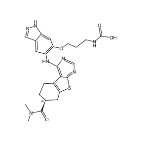 CN(C)C(=O)[C@H]1CCc2c(sc3ncnc(Nc4cc5cn[nH]c5cc4OCCCNC(=O)O)c23)C1